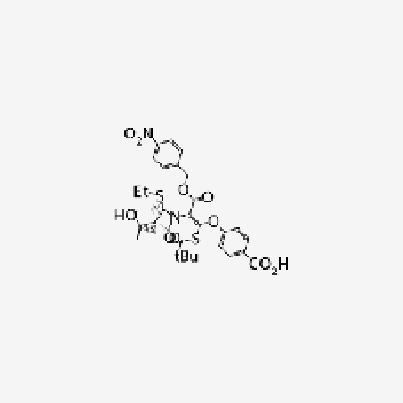 CCS[C@@H]1[C@@H]([C@@H](C)O)C(=O)N1C(C(=O)OCc1ccc([N+](=O)[O-])cc1)=C(Oc1ccc(C(=O)O)cc1)SC(=O)C(C)(C)C